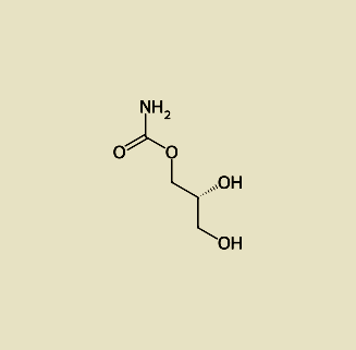 NC(=O)OC[C@H](O)CO